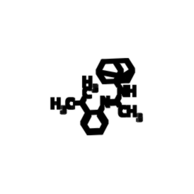 CC(=Nc1ccccc1C(C)C)NC12CC3CC(CC(C3)C1)C2